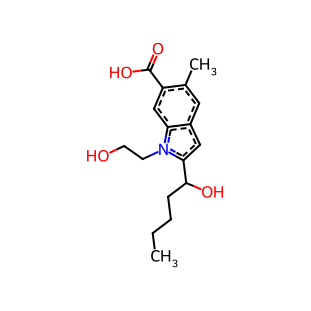 CCCCC(O)c1cc2cc(C)c(C(=O)O)cc2n1CCO